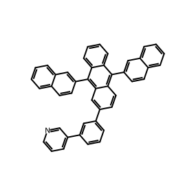 c1cncc(-c2cccc(-c3ccc4c(-c5ccc6ccccc6c5)c5ccccc5c(-c5ccc6ccccc6c5)c4c3)c2)c1